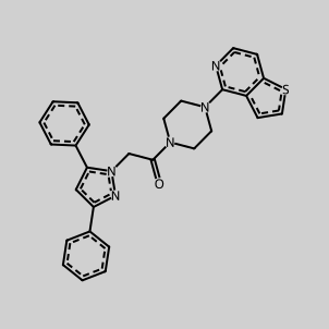 O=C(Cn1nc(-c2ccccc2)cc1-c1ccccc1)N1CCN(c2nccc3sccc23)CC1